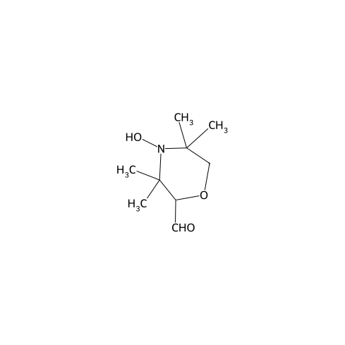 CC1(C)COC(C=O)C(C)(C)N1O